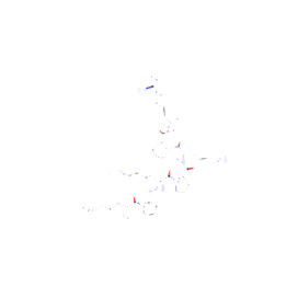 N=C(N)NCCC[C@H](NC(=O)[C@@H]1CCCN1C(=O)[C@H](CCCCN)NC(=O)[C@@H]1CCCN1C(=O)[C@H](CCCCN)NC(=O)[C@@H]1CCCN1C(=O)[C@@H](N)CCCCN)C(=O)O